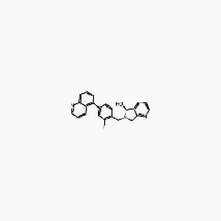 OC1c2cccnc2CN1Cc1ccc(-c2cccc3ncccc23)cc1F